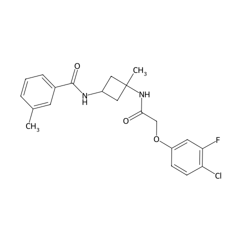 Cc1cccc(C(=O)NC2CC(C)(NC(=O)COc3ccc(Cl)c(F)c3)C2)c1